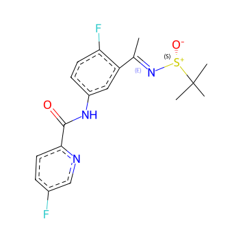 C/C(=N\[S@+]([O-])C(C)(C)C)c1cc(NC(=O)c2ccc(F)cn2)ccc1F